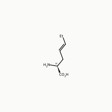 CCC=CC[C@H](N)C(=O)O